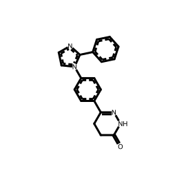 O=C1CCC(c2ccc(-n3ccnc3-c3ccccc3)cc2)=NN1